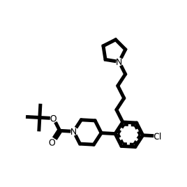 CC(C)(C)OC(=O)N1CCC(c2ccc(Cl)cc2CCCCN2CCCC2)CC1